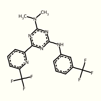 CN(C)c1nc(Nc2cccc(C(F)(F)F)c2)nc(-c2cccc(C(F)(F)F)n2)n1